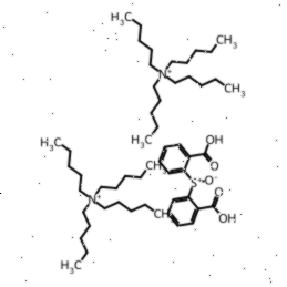 CCCCC[N+](CCCCC)(CCCCC)CCCCC.CCCCC[N+](CCCCC)(CCCCC)CCCCC.O=C(O)c1ccccc1[S+]([O-])c1ccccc1C(=O)O